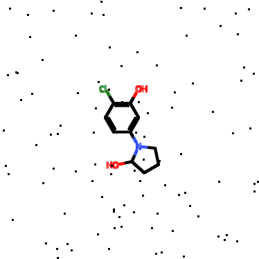 Oc1cc(N2CCCC2O)ccc1Cl